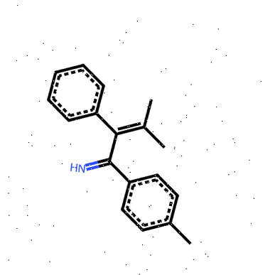 CC(C)=C(C(=N)c1ccc(C)cc1)c1ccccc1